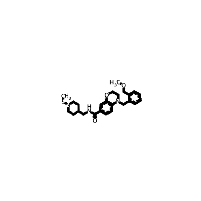 COCc1ccccc1CN1CCOc2cc(C(=O)NCC3CCN(SC)CC3)ccc21